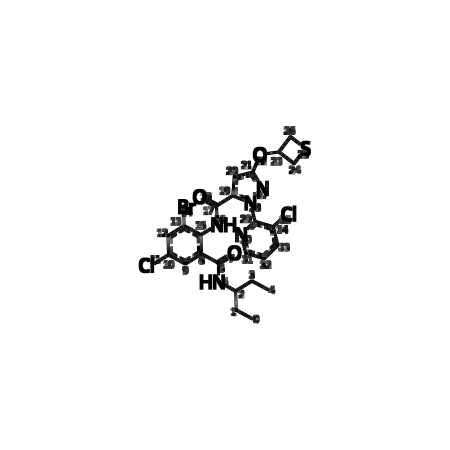 CCC(CC)NC(=O)c1cc(Cl)cc(Br)c1NC(=O)c1cc(OC2CSC2)nn1-c1ncccc1Cl